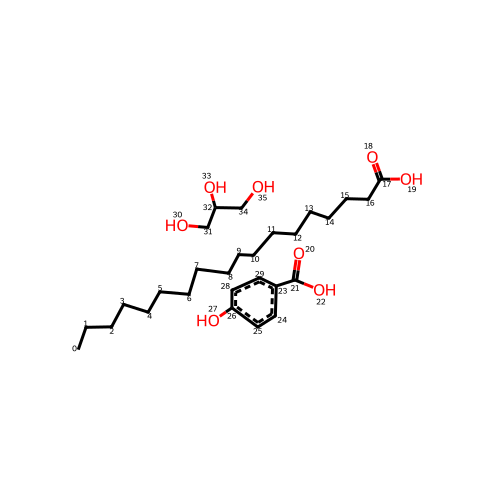 CCCCCCCCCCCCCCCCCC(=O)O.O=C(O)c1ccc(O)cc1.OCC(O)CO